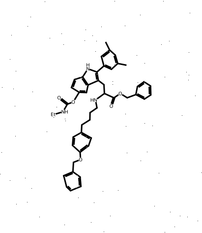 CCNC(=O)Oc1ccc2[nH]c(-c3cc(C)cc(C)c3)c(CC(NCCCCc3ccc(OCc4ccccc4)cc3)C(=O)OCc3ccccc3)c2c1